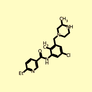 CCc1ccc(C(=O)Nc2cc(Cl)cc(CN3CCNC(C)C3)c2C)cn1